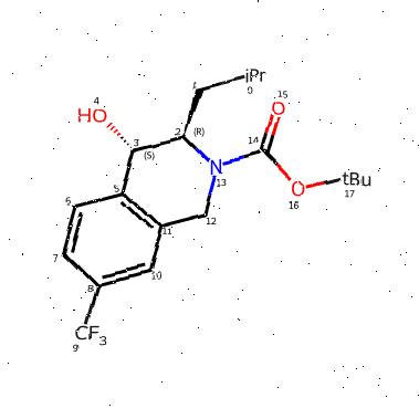 CC(C)C[C@@H]1[C@@H](O)c2ccc(C(F)(F)F)cc2CN1C(=O)OC(C)(C)C